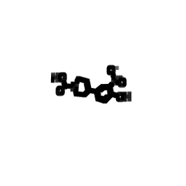 O=C(O)N1CC=C(c2ccc(O)c([N+](=O)[O-])c2)CC1